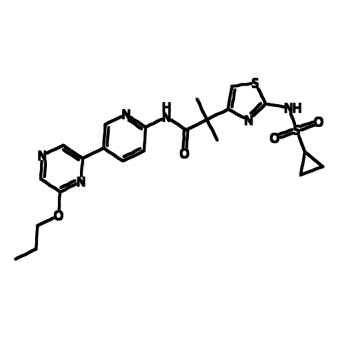 CCCOc1cncc(-c2ccc(NC(=O)C(C)(C)c3csc(NS(=O)(=O)C4CC4)n3)nc2)n1